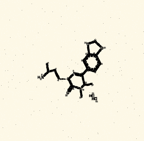 CC(N)CC[C@@H]1N=C(c2ccc3c(c2)OCO3)C(C)N(C)C1=O.Cl.Cl